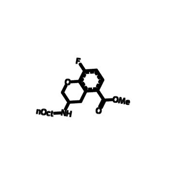 CCCCCCCCNC1COc2c(F)ccc(C(=O)OC)c2C1